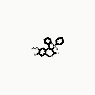 COc1cc2c(cc1Br)COC(=O)C(S(=O)(=O)c1ccccc1)=C2c1ccccc1